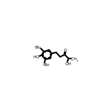 CC(O)C(=O)CCc1cc(C(C)(C)C)c(O)c(C(C)(C)C)c1